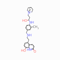 Cc1cc(CNCCc2ccc(O)c3[nH]c(=O)ccc23)ccc1NC(O)CC[N+]12CCC(CC1)CC2